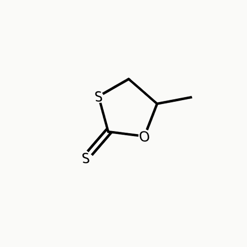 CC1CSC(=S)O1